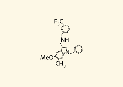 COc1cc2c(CNCc3cccc(C(F)(F)F)c3)cn(Cc3ccccc3)c2cc1C